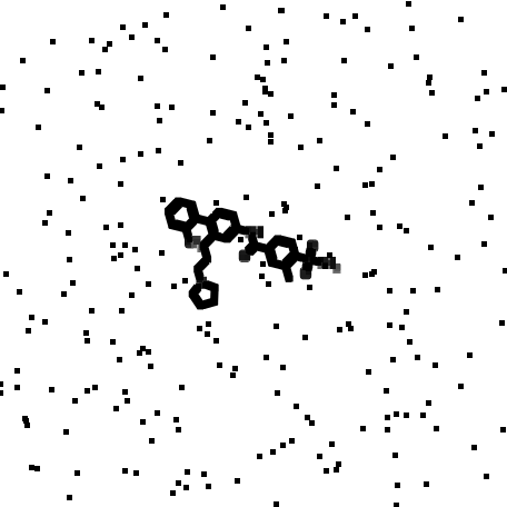 Cc1cc(C(=O)Nc2ccc(-c3ccccc3C(F)(F)F)c(CCCN3CCCC3)c2)ccc1S(N)(=O)=O